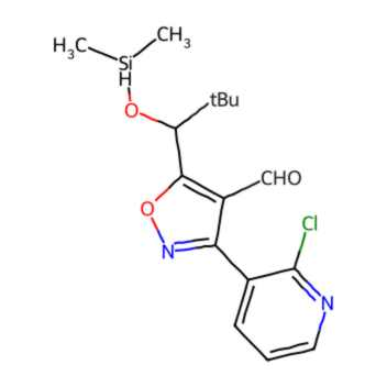 C[SiH](C)OC(c1onc(-c2cccnc2Cl)c1C=O)C(C)(C)C